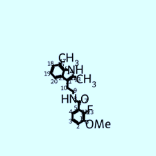 COc1cccc(C(=O)NCCc2c(C)[nH]c3c(C)cccc23)c1F